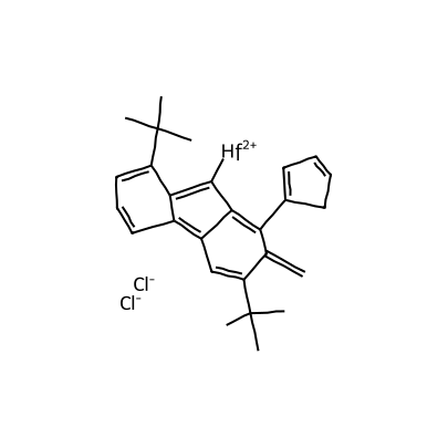 C=c1c(C(C)(C)C)cc2c(c1C1=CC=CC1)[C]([Hf+2])=c1c(C(C)(C)C)cccc1=2.[Cl-].[Cl-]